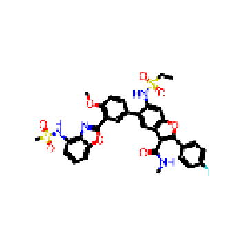 CCS(=O)(=O)Nc1cc2oc(-c3ccc(F)cc3)c(C(=O)NC)c2cc1-c1ccc(OC)c(-c2nc3c(NS(C)(=O)=O)cccc3o2)c1